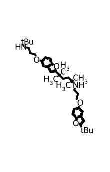 CC(C)(C)NCCCOc1ccc2oc(C(C)(C)CCC(C)(C)NCCCOc3ccc4oc(C(C)(C)C)cc4c3)cc2c1